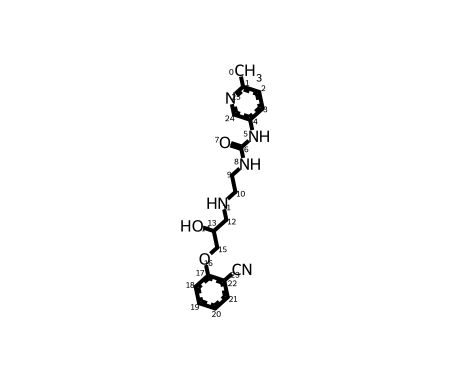 Cc1ccc(NC(=O)NCCNCC(O)COc2ccccc2C#N)cn1